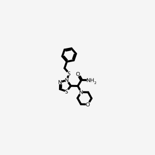 NC(=O)C(C1SC=NN1SCc1ccccc1)N1CCOCC1